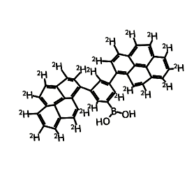 [2H]c1c(B(O)O)c([2H])c(-c2c([2H])c([2H])c3c([2H])c([2H])c4c([2H])c([2H])c([2H])c5c([2H])c([2H])c2c3c45)c([2H])c1-c1c([2H])c([2H])c2c([2H])c([2H])c3c([2H])c([2H])c([2H])c4c([2H])c([2H])c1c2c34